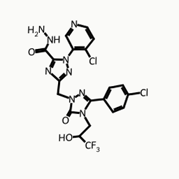 NNC(=O)c1nc(Cn2nc(-c3ccc(Cl)cc3)n(CC(O)C(F)(F)F)c2=O)nn1-c1cnccc1Cl